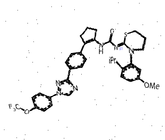 COc1ccc(C(C)C)c(N2CCCS/C2=N\C(=O)NC2=C(c3ccc(-c4ncn(-c5ccc(OC(F)(F)F)cc5)n4)cc3)CCC2)c1